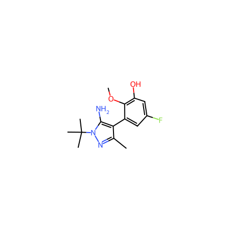 COc1c(O)cc(F)cc1-c1c(C)nn(C(C)(C)C)c1N